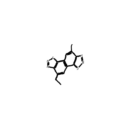 CCc1cc2c(cc(C)c3nnsc32)c2snnc12